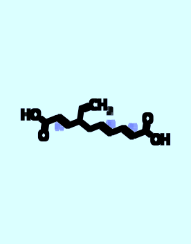 C=CC(/C=C/C(=O)O)C/C=C/C=C/C(=O)O